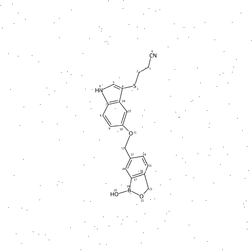 N#CCCSc1c[nH]c2ccc(OCc3ccc4c(c3)B(O)OC4)cc12